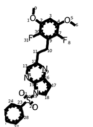 COc1cc(OC)c(F)c(CCc2cnc3c(ccn3S(=O)(=O)c3ccccc3)n2)c1F